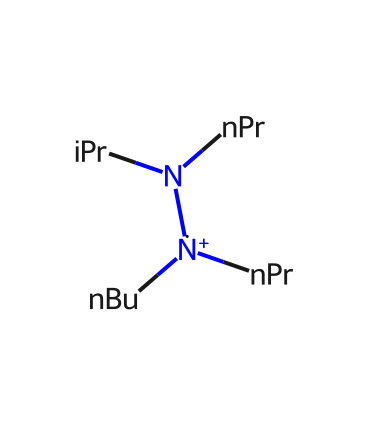 CCCC[N+](CCC)N(CCC)C(C)C